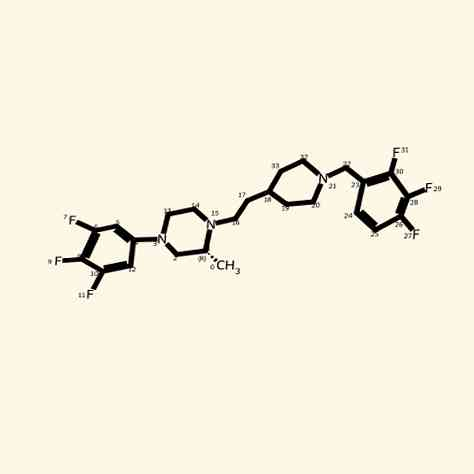 C[C@@H]1CN(c2cc(F)c(F)c(F)c2)CCN1CCC1CCN(Cc2ccc(F)c(F)c2F)CC1